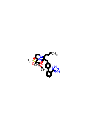 CCCCc1c(Cc2ccc(-c3ccccc3-c3nnn[nH]3)cc2)c(=O)n2n1CCCC2C(C)(C(=O)OCC)S(C)(=O)=O